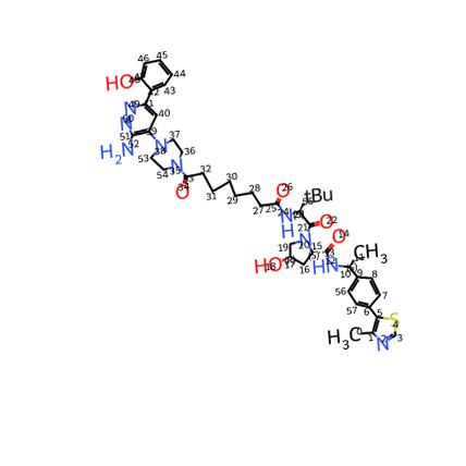 Cc1ncsc1-c1ccc([C@H](C)NC(=O)[C@@H]2C[C@@H](O)CN2C(=O)[C@@H](NC(=O)CCCCCCC(=O)N2CCN(c3cc(-c4ccccc4O)nnc3N)CC2)C(C)(C)C)cc1